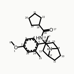 COc1ccc(C(C)N2C3CCC2CC(NC(=O)C2CCCC2)C3)c(C)c1